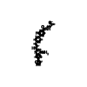 C[S@+]([O-])CCNC(=O)c1ccc(N2CCN(CCNc3nc(N)n4nc(-c5ccco5)cc4n3)CC2)c(F)c1